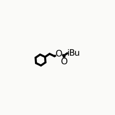 CCC(C)C(=O)OCCC1CCCCC1